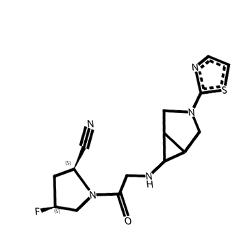 N#C[C@@H]1C[C@H](F)CN1C(=O)CNC1C2CN(c3nccs3)CC21